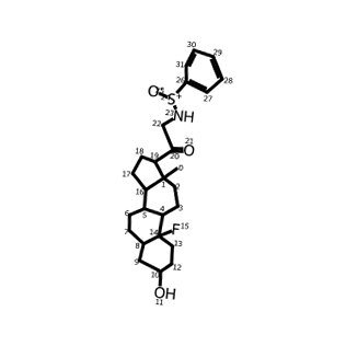 CC12CCC3C(CCC4CC(O)CCC43F)C1CCC2C(=O)CN[S+]([O-])c1ccccc1